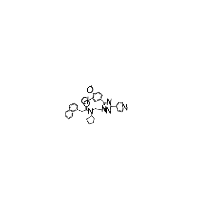 COc1ccc(-c2nc(-c3ccncc3)nn2CCN(C(=O)Cc2cccc3ccccc23)C2CCCC2)cc1Cl